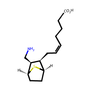 NC[C@H]1[C@@H](C/C=C\CCCC(=O)O)[C@H]2CC[C@@H]1S2